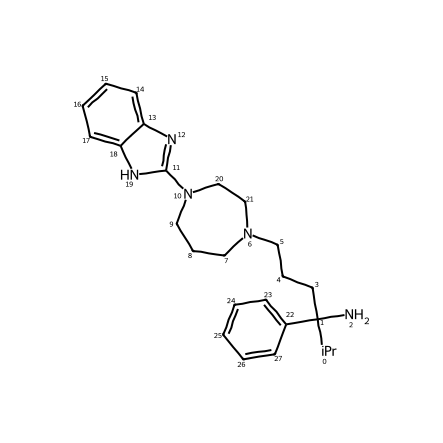 CC(C)C(N)(CCCN1CCCN(c2nc3ccccc3[nH]2)CC1)c1ccccc1